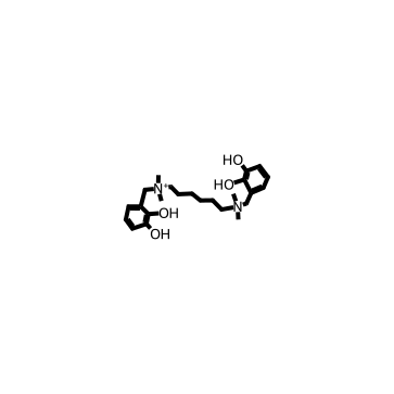 C[N+](C)(CCCCCC[N+](C)(C)Cc1cccc(O)c1O)Cc1cccc(O)c1O